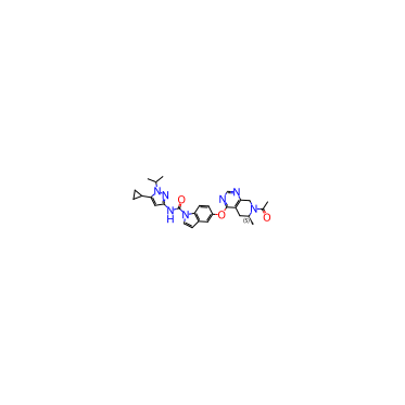 CC(=O)N1Cc2ncnc(Oc3ccc4c(ccn4C(=O)Nc4cc(C5CC5)n(C(C)C)n4)c3)c2C[C@@H]1C